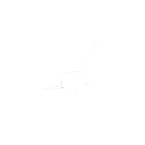 C#CC1OC(=O)CC1(F)F